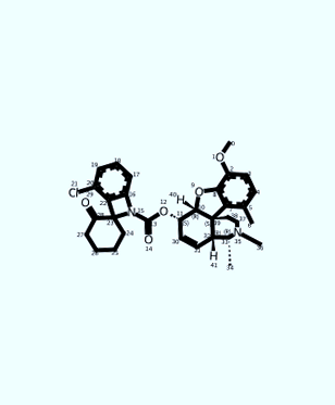 COc1ccc(C)c2c1O[C@H]1[C@@H](OC(=O)N3c4cccc(Cl)c4C34CCCCC4=O)C=C[C@H]3[C@@H](C)N(C)CC[C@@]231